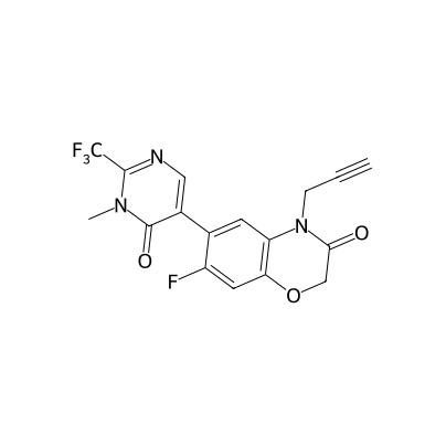 C#CCN1C(=O)COc2cc(F)c(-c3cnc(C(F)(F)F)n(C)c3=O)cc21